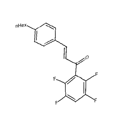 CCCCCCc1ccc(C=CC(=O)c2c(F)c(F)cc(F)c2F)cc1